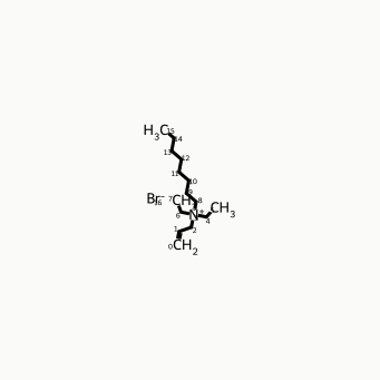 C=CC[N+](CC)(CC)CCCCCCCC.[Br-]